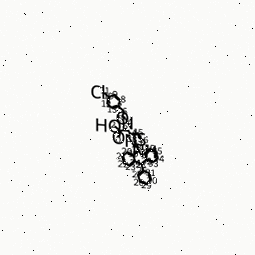 O=C(O)C(=NOCc1ccc(Cl)cc1)c1csc(Nc2ccccc2C(c2ccccc2)c2ccccc2)n1